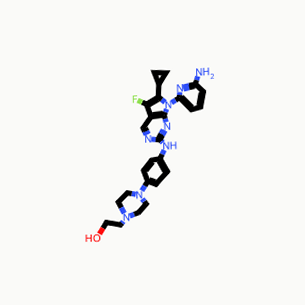 Nc1cccc(-n2c(C3CC3)c(F)c3cnc(Nc4ccc(N5CCN(CCO)CC5)cc4)nc32)n1